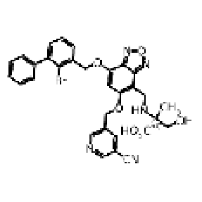 C[C@@](CO)(NCc1c(OCc2cncc(C#N)c2)cc(OCc2cccc(-c3ccccc3)c2Br)c2nonc12)C(=O)O